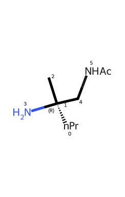 CCC[C@@](C)(N)CNC(C)=O